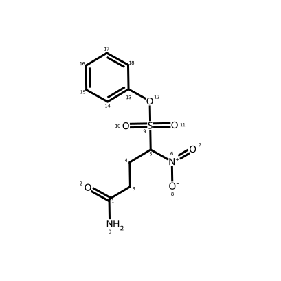 NC(=O)CCC([N+](=O)[O-])S(=O)(=O)Oc1ccccc1